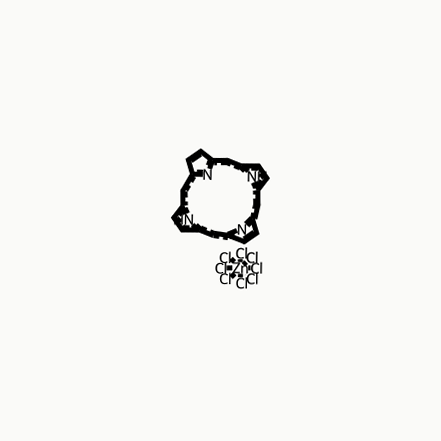 C1=Cc2cc3ccc(cc4nc(cc5ccc(cc1n2)[nH]5)C=C4)[nH]3.[Cl][Zn]([Cl])([Cl])([Cl])([Cl])([Cl])([Cl])[Cl]